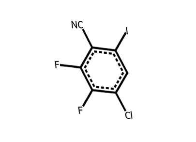 N#Cc1c(I)cc(Cl)c(F)c1F